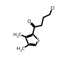 [CH2]c1csc(C(=O)CCCCl)c1C